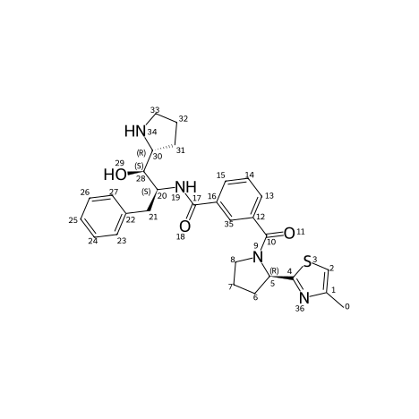 Cc1csc([C@H]2CCCN2C(=O)c2cccc(C(=O)N[C@@H](Cc3ccccc3)[C@@H](O)[C@H]3CCCN3)c2)n1